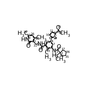 CCC1(C(=O)Nc2cc(-c3ccc(C(C)=O)s3)cc(C(=O)NCc3c(C)cc(C)[nH]c3=O)c2C)CCCC1